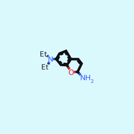 CCN(CC)c1ccc2c(c1)OC(N)C=C2